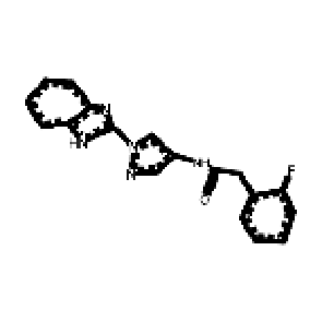 O=C(Cc1ccccc1F)Nc1cnn(-c2nc3ccccc3[nH]2)c1